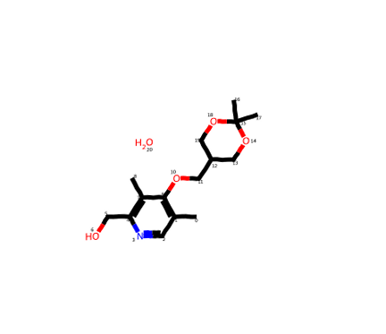 Cc1cnc(CO)c(C)c1OCC1COC(C)(C)OC1.O